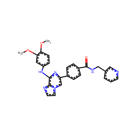 COc1ccc(Nc2nc(-c3ccc(C(=O)NCc4cccnc4)cc3)cn3ccnc23)cc1OC